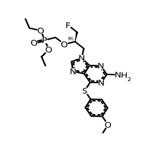 CCOP(=O)(CO[C@@H](CF)Cn1cnc2c(Sc3ccc(OC)cc3)nc(N)nc21)OCC